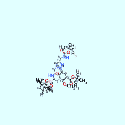 COc1c(CC(NC(=O)Cn2cc(CNC(=O)OC(C)(C)C)nn2)B2O[C@@H]3C[C@@H]4C[C@@H](C4(C)C)[C@]3(C)O2)cccc1C(=O)OC(C)(C)C